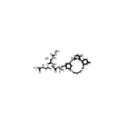 CC(C)[C@H](NC(=O)OC(C)(C)C)C(=O)N[C@@H](CCCNC(N)=O)C(=O)N=[S@@](C)(=O)Cc1cc2cc(c1)OCCCCOc1cc(F)ccc1-c1nc(ncc1F)N2